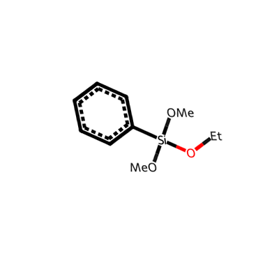 CCO[Si](OC)(OC)c1ccccc1